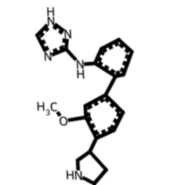 COc1cc(-c2ccccc2Nc2nc[nH]n2)ccc1C1CCNC1